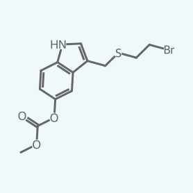 COC(=O)Oc1ccc2[nH]cc(CSCCBr)c2c1